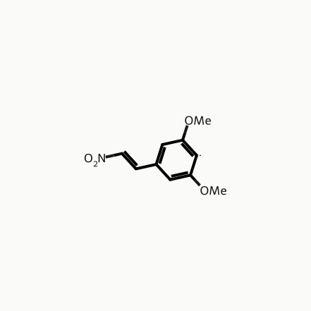 COc1[c]c(OC)cc(C=C[N+](=O)[O-])c1